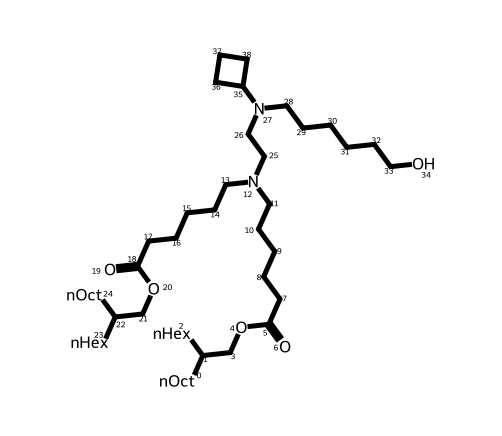 CCCCCCCCC(CCCCCC)COC(=O)CCCCCN(CCCCCC(=O)OCC(CCCCCC)CCCCCCCC)CCN(CCCCCCO)C1CCC1